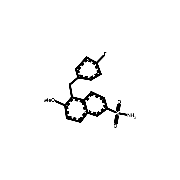 COc1ccc2cc(S(N)(=O)=O)ccc2c1Cc1ccc(F)cc1